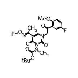 COc1ccc(F)cc1C(=O)Cn1cc(/C(C)=N/OC(C)C)c(=O)n(N(C)C(=O)OC(C)(C)C)c1=O